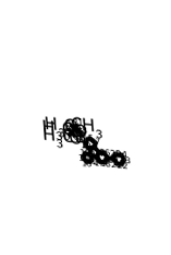 CC1(C)OB(c2ccc3c(c2)C2(CCCC2)c2ccc(-c4ccccc4)cc2-3)OC1(C)C